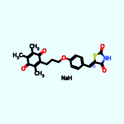 CC1=C(C)C(=O)C(CCCOc2ccc(/C=C3\SC(=O)NC3=O)cc2)=C(C)C1=O.[NaH]